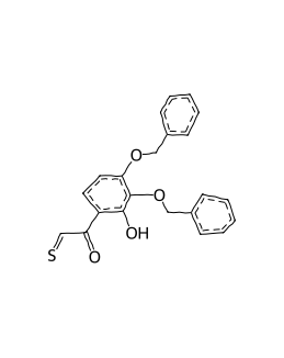 O=C(C=S)c1ccc(OCc2ccccc2)c(OCc2ccccc2)c1O